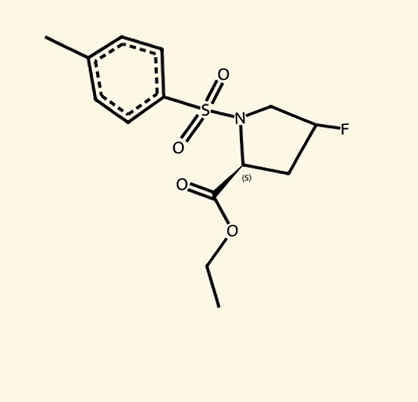 CCOC(=O)[C@@H]1CC(F)CN1S(=O)(=O)c1ccc(C)cc1